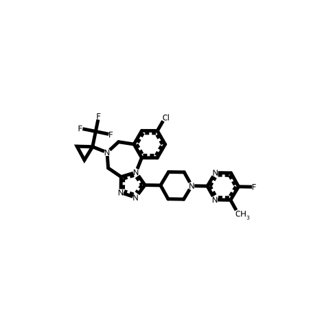 Cc1nc(N2CCC(c3nnc4n3-c3ccc(Cl)cc3CN(C3(C(F)(F)F)CC3)C4)CC2)ncc1F